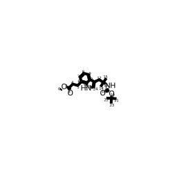 COC(=O)CCc1cccc2c(CC(C)(C)NC(=O)OC(C)(C)C)c[nH]c12